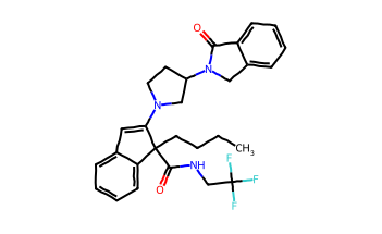 CCCCC1(C(=O)NCC(F)(F)F)C(N2CCC(N3Cc4ccccc4C3=O)C2)=Cc2ccccc21